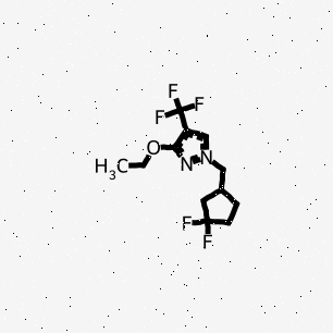 CCOc1nn(CC2CCC(F)(F)C2)cc1C(F)(F)F